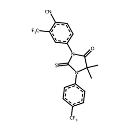 [C-]#[N+]c1ccc(N2C(=O)C(C)(C)N(c3ccc(C(F)(F)F)cc3)C2=S)cc1C(F)(F)F